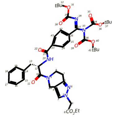 CCOC(=O)Cn1cc2c(n1)CCN(C(=O)[C@H](Cc1ccccc1)NC(=O)c1ccc(/C(=N\C(=O)OC(C)(C)C)N(C(=O)OC(C)(C)C)C(=O)OC(C)(C)C)cc1)C2